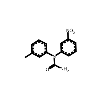 Cc1cccc(N(C(N)=O)c2cccc([N+](=O)[O-])c2)c1